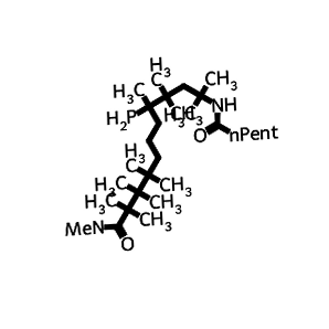 CCCCCC(=O)NC(C)(C)CC(C)(C)C(C)(P)CCCC(C)(C)C(C)(C)C(C)(C)C(=O)NC